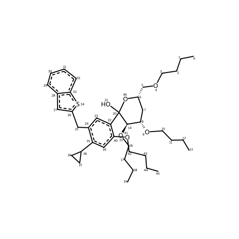 CCCCOC[C@@H]1C[C@H](OCCCC)[C@@H](OCCCC)C(O)(c2cc(Cc3cc4ccccc4s3)c(C3CC3)cc2OCCCC)O1